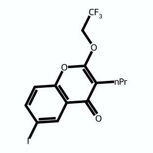 CCCc1c(OCC(F)(F)F)oc2ccc(I)cc2c1=O